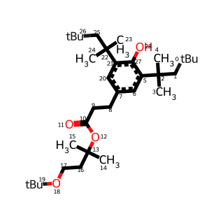 CC(C)(C)CC(C)(C)c1cc(CCC(=O)OC(C)(C)CCOC(C)(C)C)cc(C(C)(C)CC(C)(C)C)c1O